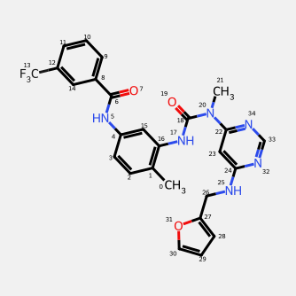 Cc1ccc(NC(=O)c2cccc(C(F)(F)F)c2)cc1NC(=O)N(C)c1cc(NCc2ccco2)ncn1